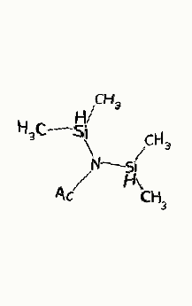 CC(=O)N([SiH](C)C)[SiH](C)C